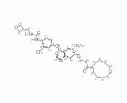 COc1cc2c(Oc3ccc(NC(=O)NCC4COC4)c(Cl)c3)ncnc2cc1OCCC(=O)N1CCCCOCCCC1